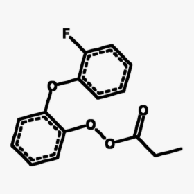 CCC(=O)OOc1ccccc1Oc1ccccc1F